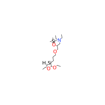 CCOC(OCC)[SiH2]CCCOCC(CN(CC)CC)O[Si](C)(C)C